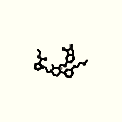 CCOC(=O)c1cccn1CCN1CCC(c2cccc(OCCOC)c2)[C@H](COc2ccc3c(c2)C(=O)NC3)C1C